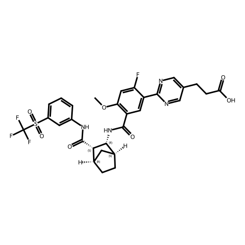 COc1cc(F)c(-c2ncc(CCC(=O)O)cn2)cc1C(=O)N[C@@H]1[C@H]2CC[C@H](C2)[C@@H]1C(=O)Nc1cccc(S(=O)(=O)C(F)(F)F)c1